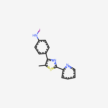 Cc1sc(-c2ccccn2)nc1-c1ccc(NI)cc1